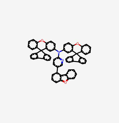 c1ccc2c(c1)Oc1ccc(N(c3ccc4c(c3)C3(c5ccccc5O4)c4ccccc4-c4ccccc43)c3ccc(-c4cccc5oc6ccccc6c45)cn3)cc1C21c2ccccc2-c2ccccc21